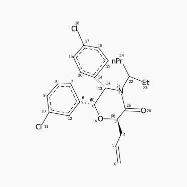 C=CC[C@H]1O[C@H](c2cccc(Cl)c2)[C@H](c2ccc(Cl)cc2)N(C(CC)CCC)C1=O